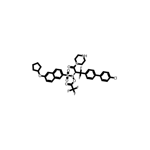 O=C([C@H](N(OC(=O)C(F)(F)F)S(=O)(=O)c1ccc2cc(OC3CCCC3)ccc2c1)C(F)(F)c1ccc(-c2ccc(Cl)cc2)cc1)N1CCNCC1